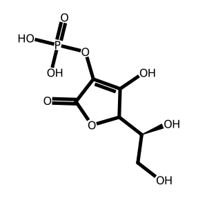 O=C1OC([C@@H](O)CO)C(O)=C1OP(=O)(O)O